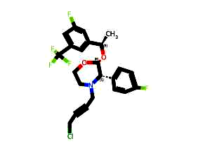 C[C@@H](O[C@H]1OCCN(CC#CCCl)[C@H]1c1ccc(F)cc1)c1cc(F)cc(C(F)(F)F)c1